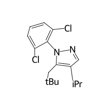 CC(C)c1cnn(-c2c(Cl)cccc2Cl)c1CC(C)(C)C